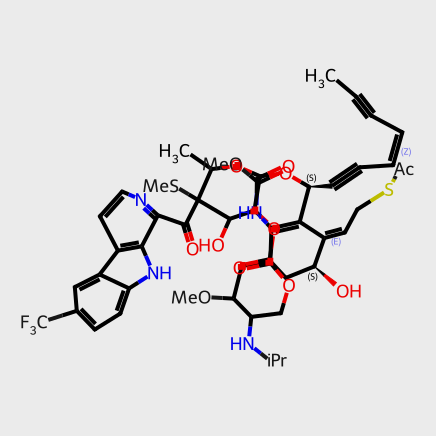 CC#C/C=C\C#C[C@H](OC1OC(C)C(SC)(C(=O)c2nccc3c2[nH]c2ccc(C(F)(F)F)cc23)C(O)C1OC1CC(OC)C(NC(C)C)CO1)C1=C(NC(=O)OC)C(=O)C[C@H](O)/C1=C/CSC(C)=O